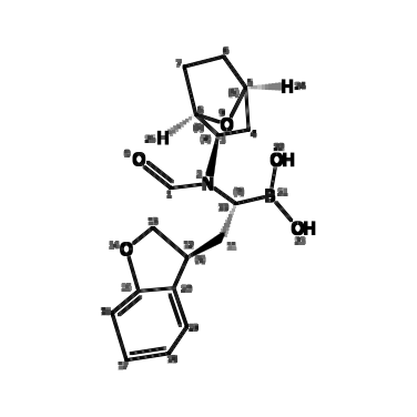 O=CN([C@@H]1C[C@@H]2CC[C@H]1O2)[C@@H](C[C@@H]1COc2ccccc21)B(O)O